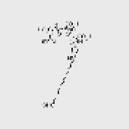 CC(C)C(=O)CCC(NC(=O)CC[C@H](NC(=O)CCC(NC(=O)C1CCC(CNC(=O)CCCCCCCCCCCCCCCCC=O)CC1)C(=O)O)C(=O)O)C(=O)O